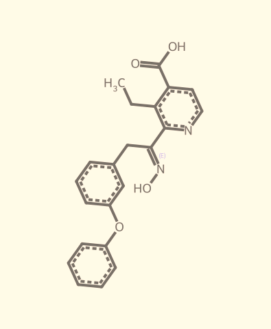 CCc1c(C(=O)O)ccnc1/C(Cc1cccc(Oc2ccccc2)c1)=N/O